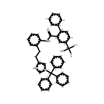 O=C(Nc1ccccc1CCc1cn(C(c2ccccc2)(c2ccccc2)c2ccccc2)cn1)c1cc(C(F)(F)F)ccc1-c1ccccc1